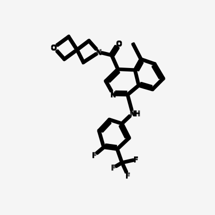 Cc1cccc2c(Nc3ccc(F)c(C(F)(F)F)c3)ncc(C(=O)N3CC4(COC4)C3)c12